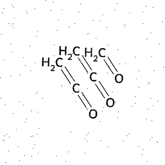 C=C=O.C=C=O.C=O